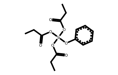 CCC(=O)O[Si](OC(=O)CC)(OC(=O)CC)Oc1ccccc1